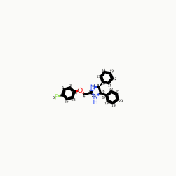 Fc1ccc(OCC2=N[C@@H](c3ccccc3)C(c3ccccc3)N2)cc1